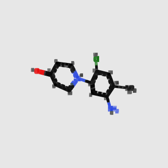 Nc1cc(-n2ccc(=O)cc2)c(Cl)cc1[N+](=O)[O-]